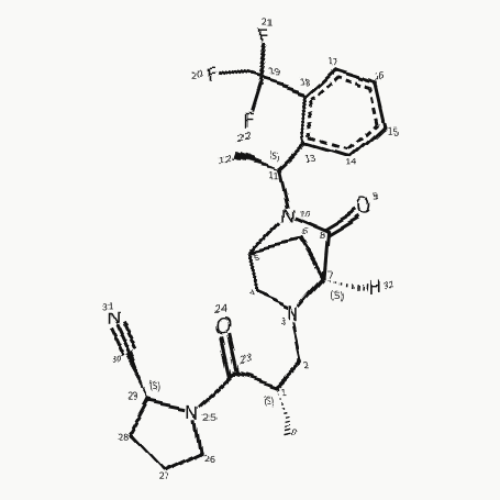 C[C@@H](CN1CC2C[C@H]1C(=O)N2[C@@H](C)c1ccccc1C(F)(F)F)C(=O)N1CCC[C@H]1C#N